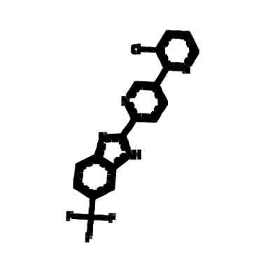 FC(F)(F)c1ccc2nc(-c3ccc(-c4ncccc4Cl)cn3)[nH]c2c1